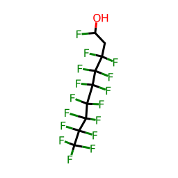 OC(F)CC(F)(F)C(F)(F)C(F)(F)C(F)(F)C(F)(F)C(F)(F)C(F)(F)F